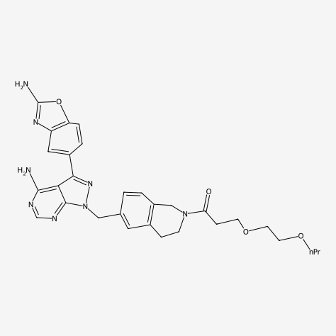 CCCOCCOCCC(=O)N1CCc2cc(Cn3nc(-c4ccc5oc(N)nc5c4)c4c(N)ncnc43)ccc2C1